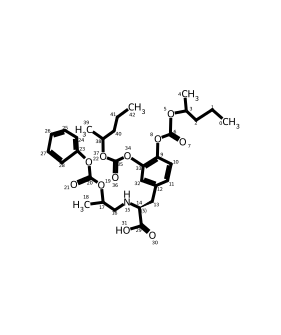 CCCC(C)OC(=O)Oc1ccc(C[C@H](NCC(C)OC(=O)Oc2ccccc2)C(=O)O)cc1OC(=O)OC(C)CCC